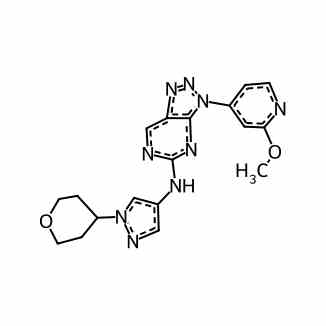 COc1cc(-n2nnc3cnc(Nc4cnn(C5CCOCC5)c4)nc32)ccn1